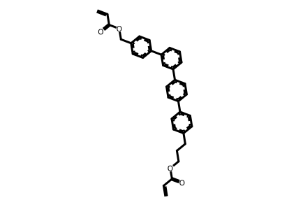 C=CC(=O)OCCCc1ccc(-c2ccc(-c3cccc(-c4ccc(COC(=O)C=C)cc4)c3)cc2)cc1